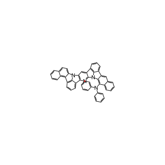 c1ccc(N(c2ccccc2)c2c3ccccc3cc3c4cccc5c6cc7c(nc6n(c23)c54)c2cccc3c4c5ccccc5ccc4n7c23)cc1